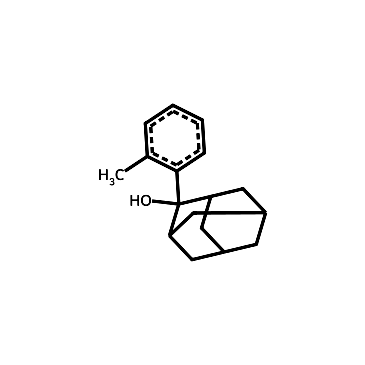 Cc1ccccc1C1(O)C2CC3CC(C2)CC1C3